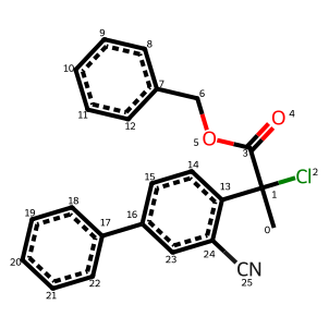 CC(Cl)(C(=O)OCc1ccccc1)c1ccc(-c2ccccc2)cc1C#N